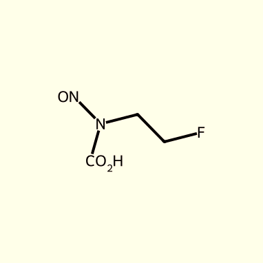 O=NN(CCF)C(=O)O